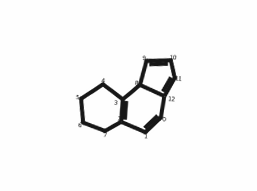 [C]1=CC2=C(CCCC2)C2C=CC=C12